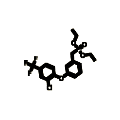 CCOP(=O)(Cc1cccc(Oc2ccc(C(F)(F)F)cc2Cl)c1)OCC